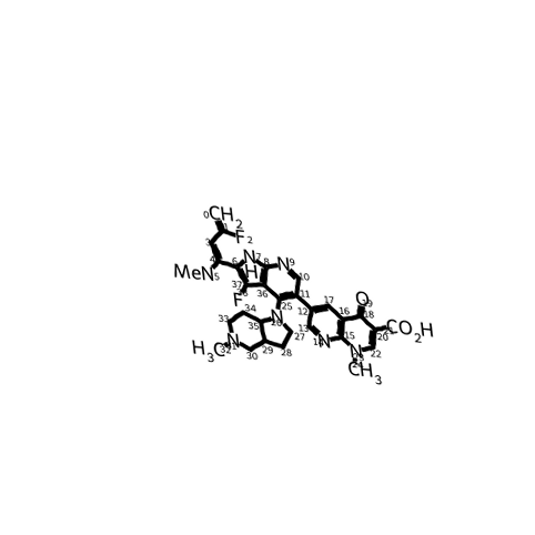 C=C(F)/C=C(/NC)c1[nH]c2ncc(-c3cnc4c(c3)c(=O)c(C(=O)O)cn4C)c(N3CCC4CN(C)CCC43)c2c1F